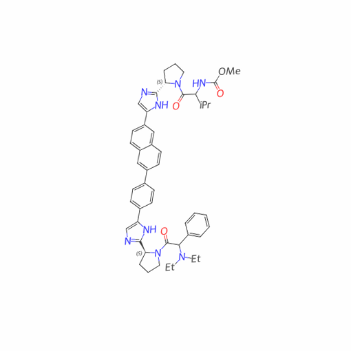 CCN(CC)C(C(=O)N1CCC[C@H]1c1ncc(-c2ccc(-c3ccc4cc(-c5cnc([C@@H]6CCCN6C(=O)C(NC(=O)OC)C(C)C)[nH]5)ccc4c3)cc2)[nH]1)c1ccccc1